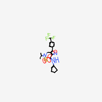 CC(C)N(Cc1c(C(=O)NC2CCCC2)noc1-c1ccc(C(F)(F)F)cc1)S(C)(=O)=O